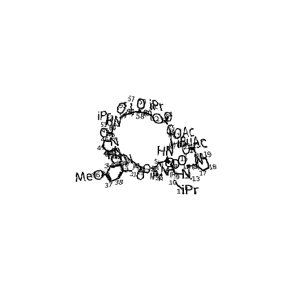 CC[C@H](C)[C@@H]1NC(=O)[C@@H](N(C(=O)[C@@H](CC(C)C)N(C)C(=O)[C@@H]2CCCN2C(=O)C(C)=O)C(C)C)[C@@H](C)OC(=O)[C@H](Cc2ccc(OC)cc2)N(C)C(=O)[C@@H]2CCCN2C(=O)[C@H](CC(C)C)NC(=O)[C@@H](C)C(=O)[C@H](C(C)C)OC(=O)C[C@H]1OC(C)=O